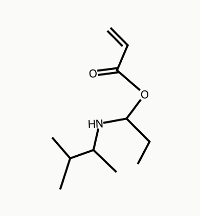 C=CC(=O)OC(CC)NC(C)C(C)C